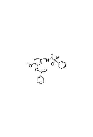 COc1ccc(/C=N/NS(=O)(=O)c2ccccc2)cc1OC(=O)c1ccccc1